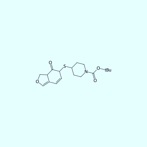 CC(C)(C)OC(=O)N1CCC(SC2C=CC3=COCC3C2=O)CC1